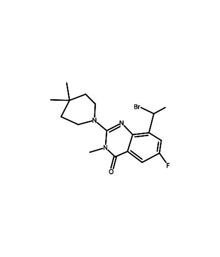 CC(Br)c1cc(F)cc2c(=O)n(C)c(N3CCC(C)(C)CC3)nc12